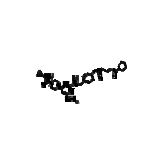 Nc1cc(N2CCN(C(=S)NC3CC3)CC2)nc(NCC2=CC[C@H](CNCCCNC3CCCCC3)C=C2)n1